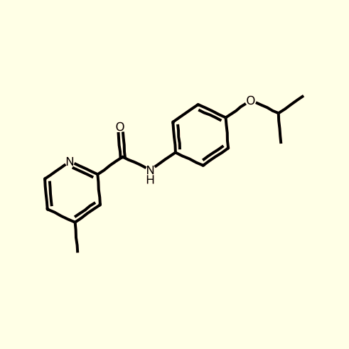 Cc1ccnc(C(=O)Nc2ccc(OC(C)C)cc2)c1